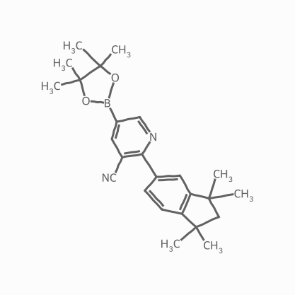 CC1(C)CC(C)(C)c2cc(-c3ncc(B4OC(C)(C)C(C)(C)O4)cc3C#N)ccc21